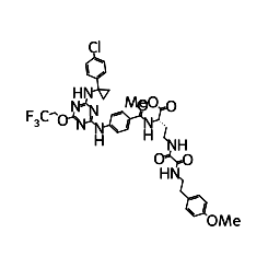 COC(=O)[C@H](CCNC(=O)C(=O)NCCc1ccc(OC)cc1)NC(=O)c1ccc(Nc2nc(NC3(c4ccc(Cl)cc4)CC3)nc(OCC(F)(F)F)n2)cc1